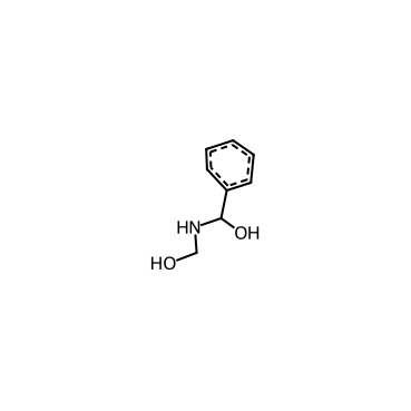 OCNC(O)c1ccccc1